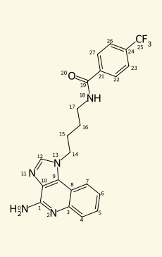 Nc1nc2ccccc2c2c1ncn2CCCCNC(=O)c1ccc(C(F)(F)F)cc1